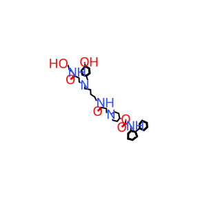 O=C(CCN1CCC(OC(=O)Nc2ccccc2-c2ccccc2)CC1)NCCCCCN(CCC(=O)NCCO)Cc1ccc(O)cc1